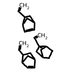 C=CC1=C2CCC(C1)C2.C=CC1CC2C=CC1C2.C=CC1CC2C=CC1C2